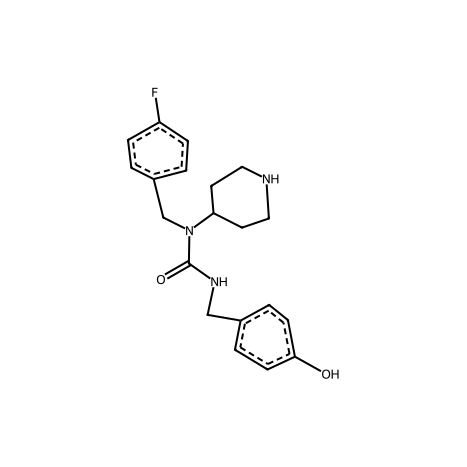 O=C(NCc1ccc(O)cc1)N(Cc1ccc(F)cc1)C1CCNCC1